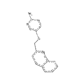 Nc1ncc(OCc2ccc3ccccc3n2)cn1